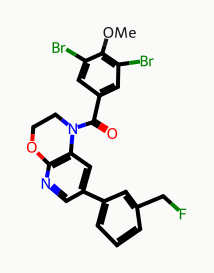 COc1c(Br)cc(C(=O)N2CCOc3ncc(-c4cccc(CF)c4)cc32)cc1Br